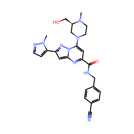 CN1CCN(c2cc(C(=O)NCc3ccc(C#N)cc3)nc3cc(-c4ccnn4C)nn23)C[C@H]1CO